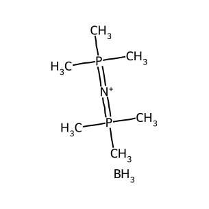 B.CP(C)(C)=[N+]=P(C)(C)C